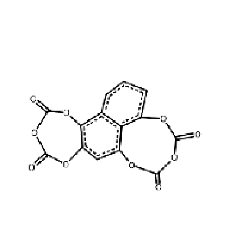 O=C1OC(=O)Oc2c(cc3c4c(cccc24)OC(=O)OC(=O)O3)O1